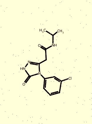 CC(C)NC(=O)Cc1n[nH]c(=O)n1-c1cccc(Cl)c1